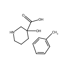 Cc1ccccc1.O=C(O)C1(O)CCCNC1